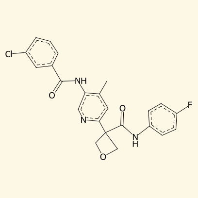 Cc1cc(C2(C(=O)Nc3ccc(F)cc3)COC2)ncc1NC(=O)c1cccc(Cl)c1